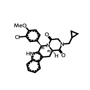 COc1ccc([C@@H]2c3[nH]c4ccccc4c3C[C@@H]3C(=O)N(CC4CC4)CC(=O)N23)cc1Cl